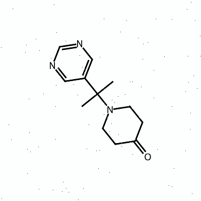 CC(C)(c1cncnc1)N1CCC(=O)CC1